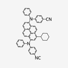 [C-]#[N+]c1ccc(N(c2ccccc2)c2cc(C3CCCCC3)c3ccc4c(N(c5ccccc5)c5ccc(C#N)cc5)ccc5ccc2c3c54)cc1